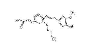 CCCCOc1cc(C=CC(=O)O)ccc1C=CCc1ccc(O)c(OC)c1